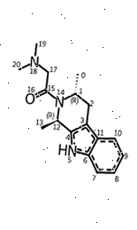 C[C@@H]1Cc2c([nH]c3ccccc23)[C@@H](C)N1C(=O)CN(C)C